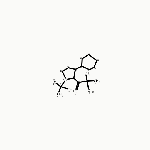 CC(C)(C)C(=O)C1C(C2CCCCC2)CCN1C(C)(C)C